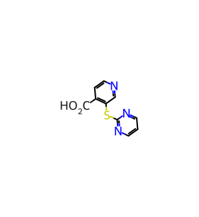 O=C(O)c1ccncc1Sc1ncccn1